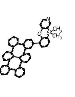 C[Si]1(C)c2cnccc2Oc2c(-c3ccc4c(c3)c3cccc5c3-c3c(cccc3c3ccccc34)c3ccccc3c3ccccc53)cccc21